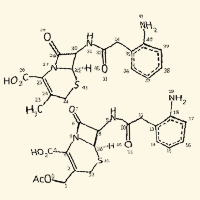 CC(=O)OCC1=C(C(=O)O)N2C(=O)C(NC(=O)Cc3ccccc3N)[C@H]2SC1.CC1=C(C(=O)O)N2C(=O)C(NC(=O)Cc3ccccc3N)[C@H]2SC1